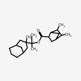 CC1C2CC(C(=O)OC(C)(C)C3(C)CC4CCCC(C4)C3)C(C2)C1C